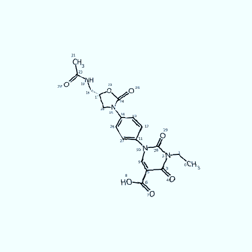 CCn1c(=O)c(C(=O)O)cn(-c2ccc(N3C[C@H](CNC(C)=O)OC3=O)cc2)c1=O